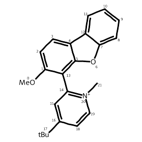 COc1ccc2c(oc3ccccc32)c1-c1cc(C(C)(C)C)cc[n+]1C